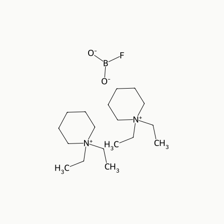 CC[N+]1(CC)CCCCC1.CC[N+]1(CC)CCCCC1.[O-]B([O-])F